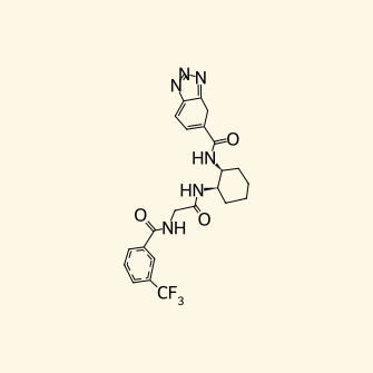 O=C(CNC(=O)c1cccc(C(F)(F)F)c1)N[C@@H]1CCCC[C@@H]1NC(=O)C1=CC=C2N=NN=C2C1